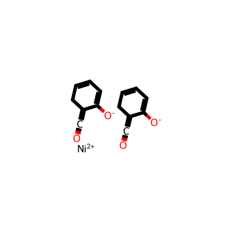 O=C=C1CC=CC=C1[O-].O=C=C1CC=CC=C1[O-].[Ni+2]